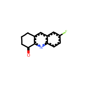 O=C1CCCc2cc3cc(F)ccc3nc21